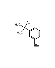 CC(=O)C(C)(C)c1cccc(C(C)(C)C)c1